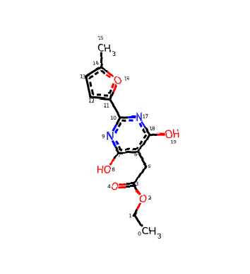 CCOC(=O)Cc1c(O)nc(-c2ccc(C)o2)nc1O